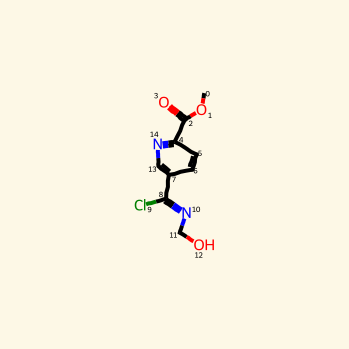 COC(=O)c1ccc(/C(Cl)=N/CO)cn1